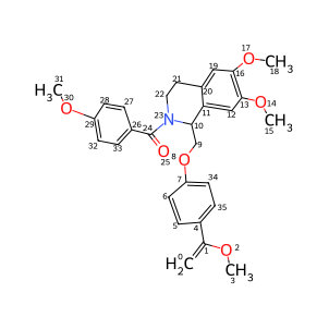 C=C(OC)c1ccc(OCC2c3cc(OC)c(OC)cc3CCN2C(=O)c2ccc(OC)cc2)cc1